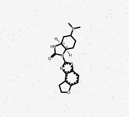 CN(C)C1CC[C@@H]2[C@H](C1)NC(=O)N2c1nc2c3c(ccc2s1)OCC3